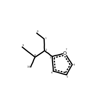 CCC(c1ccco1)C(C)C